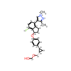 Cc1nn(C)cc1-c1ccc(F)c2c1CC[C@H]2Oc1ccc([C@H]2C[C@@H]2COCO)cc1